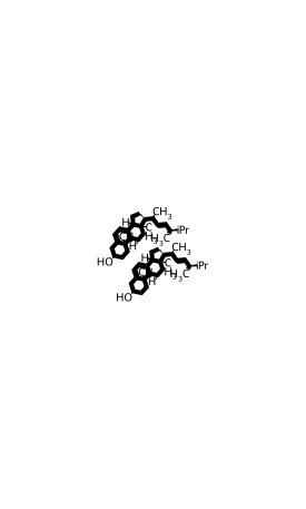 CC(C)[C@@H](C)/C=C/[C@@H](C)[C@H]1CC[C@H]2C3=CC=C4C[C@@H](O)CC[C@]4(C)[C@H]3CC[C@]12C.CC(C)[C@@H](C)/C=C/[C@@H](C)[C@H]1CC[C@H]2C3=CC=C4C[C@@H](O)CC[C@]4(C)[C@H]3CC[C@]12C